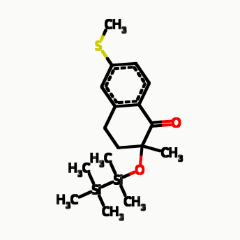 CSc1ccc2c(c1)CCC(C)(O[Si](C)(C)[Si](C)(C)C)C2=O